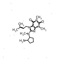 CC(C)=CCn1c(N(C)C2CCCC2N)nc2c1c(=O)n(C)c(=O)n2C